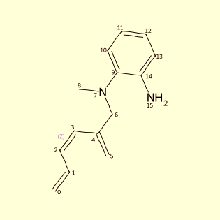 C=C/C=C\C(=C)CN(C)c1ccccc1N